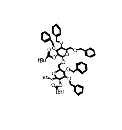 CCSC1OC(CO[C@@H]2OC(COCc3ccccc3)[C@H](OCc3ccccc3)C(OCc3ccccc3)[C@@H]2OC(=O)C(C)(C)C)[C@H](OCc2ccccc2)C(OCc2ccccc2)[C@H]1OC(=O)C(C)(C)C